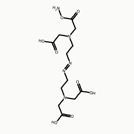 NOC(=O)CN(CCN=NCCN(CC(=O)O)CC(=O)O)CC(=O)O